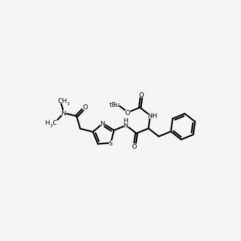 CN(C)C(=O)Cc1csc(NC(=O)C(Cc2ccccc2)NC(=O)OC(C)(C)C)n1